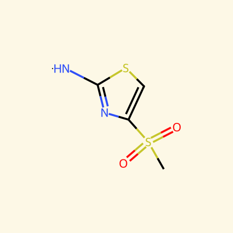 CS(=O)(=O)c1csc([NH])n1